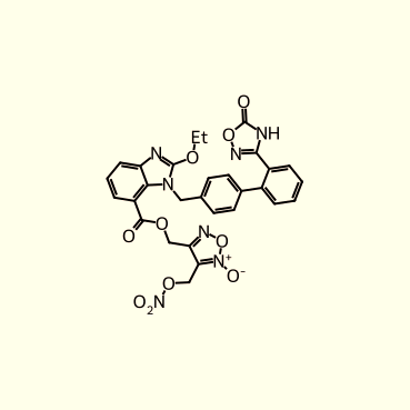 CCOc1nc2cccc(C(=O)OCc3no[n+]([O-])c3CO[N+](=O)[O-])c2n1Cc1ccc(-c2ccccc2-c2noc(=O)[nH]2)cc1